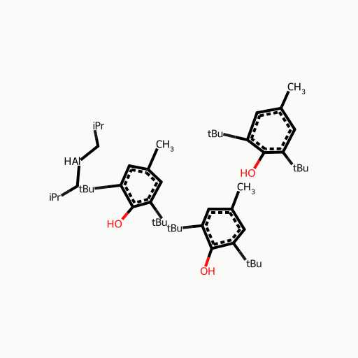 CC(C)[CH2][AlH][CH2]C(C)C.Cc1cc(C(C)(C)C)c(O)c(C(C)(C)C)c1.Cc1cc(C(C)(C)C)c(O)c(C(C)(C)C)c1.Cc1cc(C(C)(C)C)c(O)c(C(C)(C)C)c1